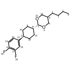 CCCCC1COC([C@H]2CC[C@H](c3ccc(F)c(F)c3)CC2)OC1